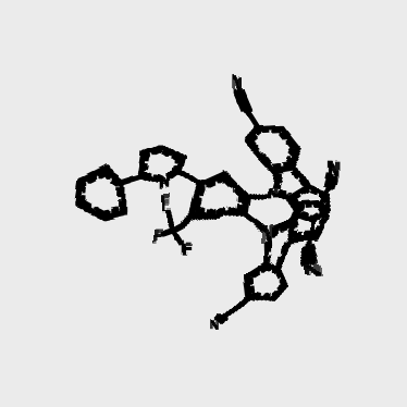 N#Cc1ccc2c3ccc(C#N)cc3n(-c3cc(-c4cccc(-c5ccccc5)n4)c(C(F)(F)F)cc3-n3c4cc(C#N)ccc4c4ccc(C#N)cc43)c2c1